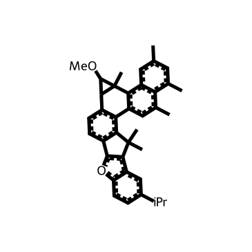 COC1C2c3ccc4c(c3-c3cc(C)c5c(C)cc(C)cc5c3C12C)C(C)(C)c1c-4oc2ccc(C(C)C)cc12